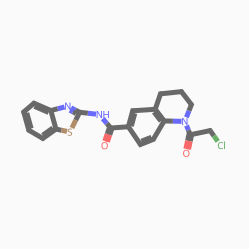 O=C(Nc1nc2ccccc2s1)c1ccc2c(c1)CCCN2C(=O)CCl